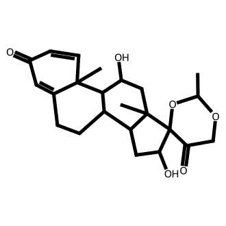 CC1OCC(=O)C2(O1)C(O)CC1C3CCC4=CC(=O)C=CC4(C)C3C(O)CC12C